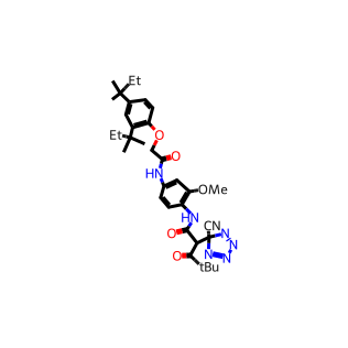 CCC(C)(C)c1ccc(OCC(=O)Nc2ccc(NC(=O)C(C(=O)C(C)(C)C)C3(C#N)N=NN=N3)c(OC)c2)c(C(C)(C)CC)c1